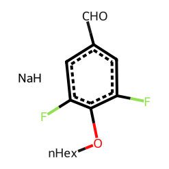 CCCCCCOc1c(F)cc(C=O)cc1F.[NaH]